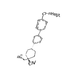 CCCCCCCOc1ccc(-c2ccc([C@H]3CC[C@@](C#N)(C[C@H](C)CC)CC3)cc2)cc1